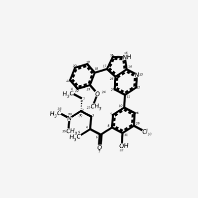 CC[C@H](CC(C)C(=O)c1cc(-c2cnc3[nH]cc(-c4ccccc4OC)c3c2)cc(Cl)c1O)N(C)C